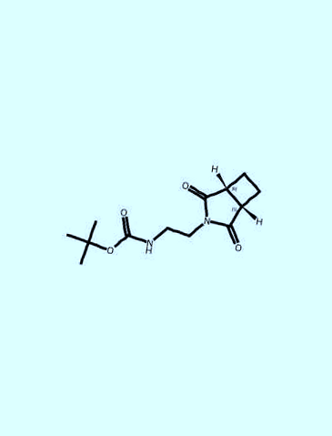 CC(C)(C)OC(=O)NCCN1C(=O)[C@H]2CC[C@H]2C1=O